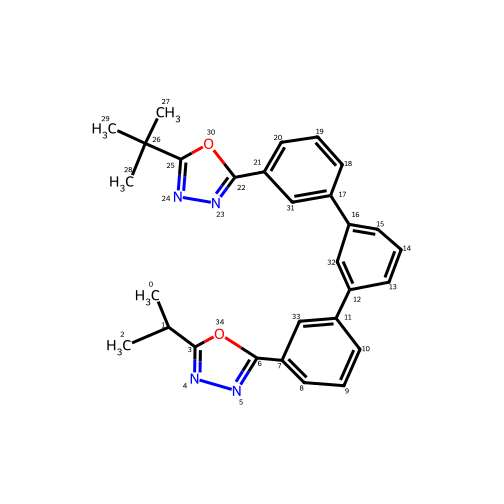 CC(C)c1nnc(-c2cccc(-c3cccc(-c4cccc(-c5nnc(C(C)(C)C)o5)c4)c3)c2)o1